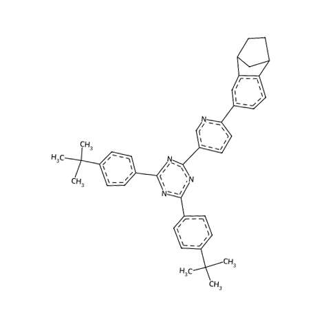 CC(C)(C)c1ccc(-c2nc(-c3ccc(C(C)(C)C)cc3)nc(-c3ccc(-c4ccc5c(c4)C4CCC5C4)nc3)n2)cc1